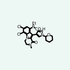 CCN(C(=O)O)c1cc(Cl)c(Cl)c2c1c(-c1cnn(C3CCCCO3)c1)c1n2CCN(C)C1=O